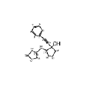 OC1(C#Cc2ccccc2)CCCC1CN1CCCC1